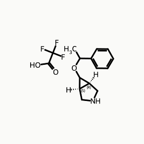 CC(OC1[C@H]2CNC[C@@H]12)c1ccccc1.O=C(O)C(F)(F)F